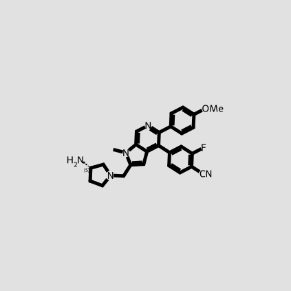 COc1ccc(-c2ncc3c(cc(CN4CC[C@H](N)C4)n3C)c2-c2ccc(C#N)c(F)c2)cc1